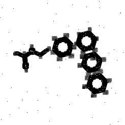 CCOC(C)=O.c1ccccc1.c1ccccc1.c1ccccc1.c1ccccc1